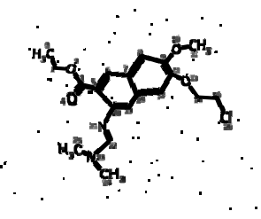 CCOC(=O)c1cc2cc(OC)c(OCCCl)cc2cc1N=CN(C)C